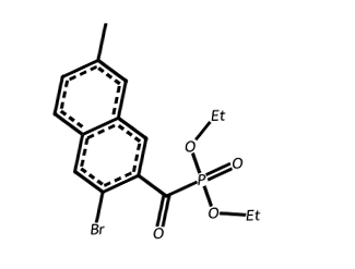 CCOP(=O)(OCC)C(=O)c1cc2cc(C)ccc2cc1Br